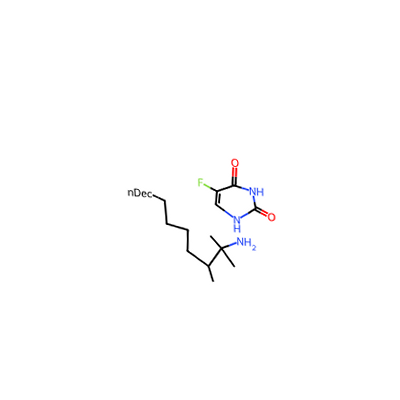 CCCCCCCCCCCCCCC(C)C(C)(C)N.O=c1[nH]cc(F)c(=O)[nH]1